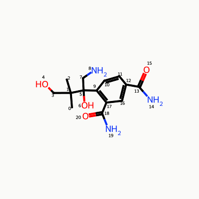 CC(C)(CO)C(O)(CN)c1ccc(C(N)=O)cc1C(N)=O